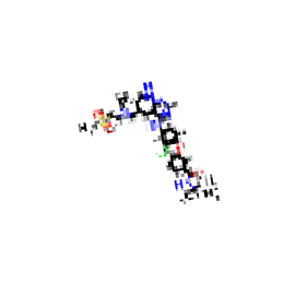 CC(C)(C)NC(=O)c1cccc(Oc2ccc(Nc3ncnc4c3C=C(CN(CCS(C)(=O)=O)C3CC3)CCN4)cc2Cl)c1